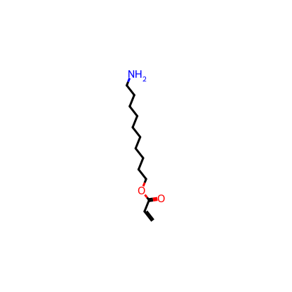 C=CC(=O)OCCCCCCCCCCN